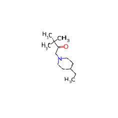 CCC1CCN(CC(=O)C(C)(C)C)CC1